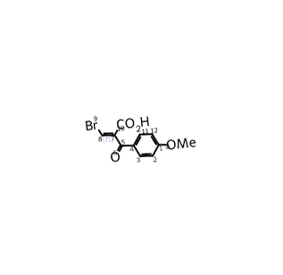 COc1ccc(C(=O)/C(=C/Br)C(=O)O)cc1